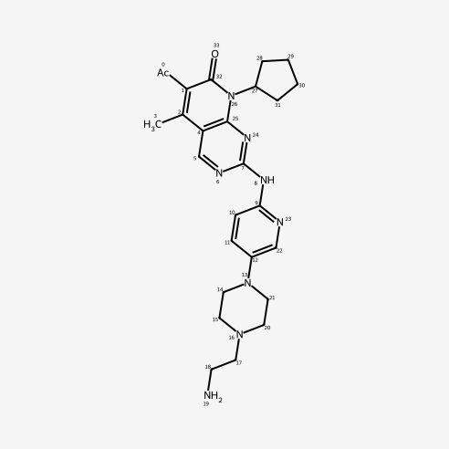 CC(=O)c1c(C)c2cnc(Nc3ccc(N4CCN(CCN)CC4)cn3)nc2n(C2CCCC2)c1=O